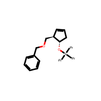 CC(C)[Si](O[C@H]1CC=C[C@@H]1COCc1ccccc1)(C(C)C)C(C)C